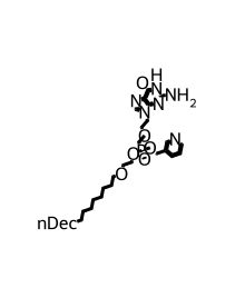 CCCCCCCCCCCCCCCCCCOCCOP(=O)(COCCn1cnc2c(=O)[nH]c(N)nc21)OCc1cccnc1